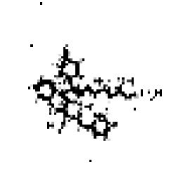 CC(C)n1c(/C=C/C(O)CC(O)CC(=O)O)c(-c2ccc(F)cc2)c(-c2ccccc2)c1C(=O)N(C)CCc1ccccn1